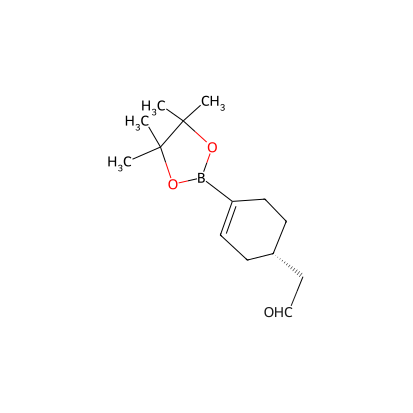 CC1(C)OB(C2=CC[C@@H](CC=O)CC2)OC1(C)C